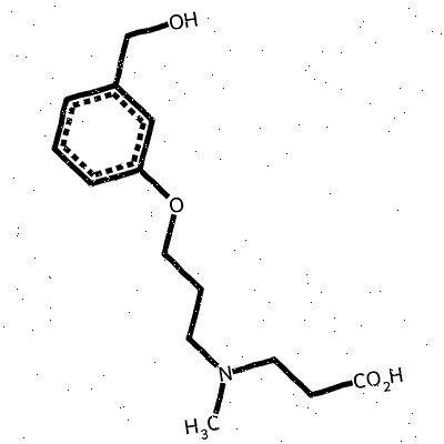 CN(CCCOc1cccc(CO)c1)CCC(=O)O